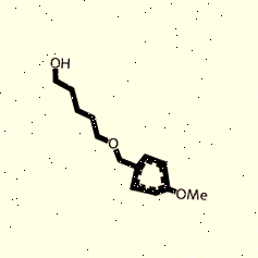 COc1ccc(COCCCCCO)cc1